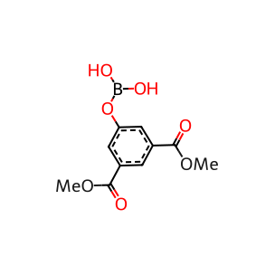 COC(=O)c1cc(OB(O)O)cc(C(=O)OC)c1